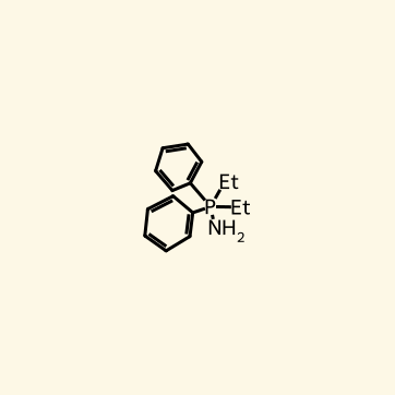 CCP(N)(CC)(c1ccccc1)c1ccccc1